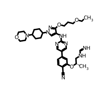 CCOCCCOc1nn(C2CCC(N3CCOCC3)CC2)cc1Nc1ncc(-c2ccc(C#N)c(O[C@@H](C)CNC=N)c2)cn1